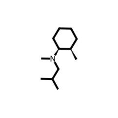 CC(C)CN(C)[C@H]1CCCC[C@H]1C